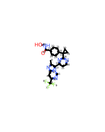 Cc1nc2cc(C(F)(F)F)ncn2c1-c1ccnc(C2(c3ccc(C(=O)NO)cc3)CC2)n1